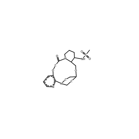 CS(=O)(=O)NC1CCCN2C(=O)COc3cccnc3N3CCC(CC3)OCC12